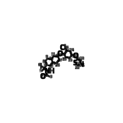 CC(=O)NC(C)(I)c1ccc2cc(Oc3ccc(Oc4cncs4)cc3Cl)ccc2c1